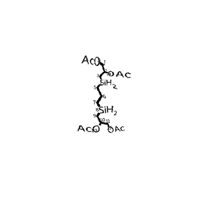 CC(=O)OCC(C[SiH2]CCC[SiH2]CC(COC(C)=O)OC(C)=O)OC(C)=O